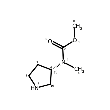 COC(=O)N(C)[C@H]1CCNC1